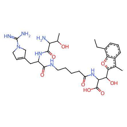 CCc1cccc2c(C)c(C(O)C(NC(=O)CCCCNC(=O)C(CC3=CCN(C(=N)N)C3)NC(=O)C(N)C(C)O)C(=O)O)oc12